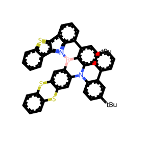 CC(C)(C)c1ccc(N2c3cc4c(cc3B3c5c(cc(C(C)(C)C)cc52)-c2cccc5c6sc7ccccc7c6n3c25)Sc2ccccc2S4)c(-c2ccccc2)c1